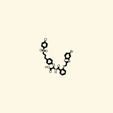 O=C(NC(Oc1ccc(CCCS(=O)(=O)c2ccc(Cl)cc2)cc1)C(=O)O)c1ccccc1SCc1nc2cc(Br)ccc2s1